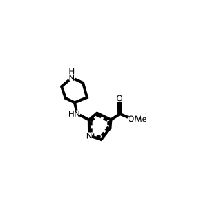 COC(=O)c1ccnc(NC2CCNCC2)c1